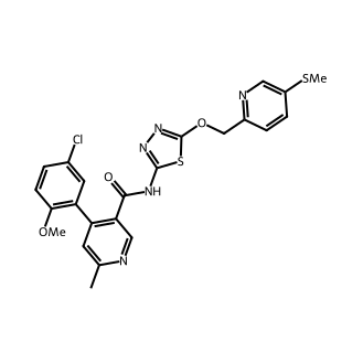 COc1ccc(Cl)cc1-c1cc(C)ncc1C(=O)Nc1nnc(OCc2ccc(SC)cn2)s1